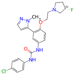 Cn1nccc1-c1cc(NC(=O)Nc2ccc(Cl)cc2)ccc1OCCN1CC[C@H](F)C1